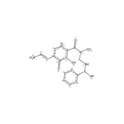 CCCC(NCN(C)C(=O)c1[nH]cc(/C=N/N)c(=O)c1O)c1ccccc1